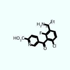 CC[C@@H](N)c1ccc(Cl)c(C(=O)c2ccc(C(=O)O)nc2)c1F